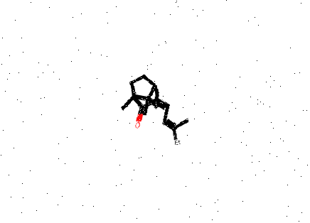 CCC(C)=CC=C1C(=O)C2(C)CCC1C2(C)C